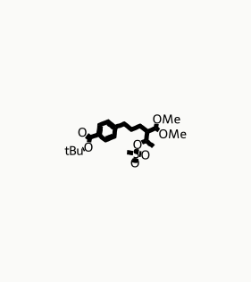 COC(OC)C(CCCc1ccc(C(=O)OC(C)(C)C)cc1)C(C)OS(C)(=O)=O